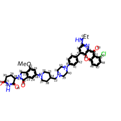 CCNc1cc(-c2ccc(N3CCN(CC4CCN(c5cc(OC)c6c(c5)C(=O)N(C5CCC(=O)NC5=O)C6)CC4)CC3)cc2)c2oc3cccc(Cl)c3c(=O)c2n1